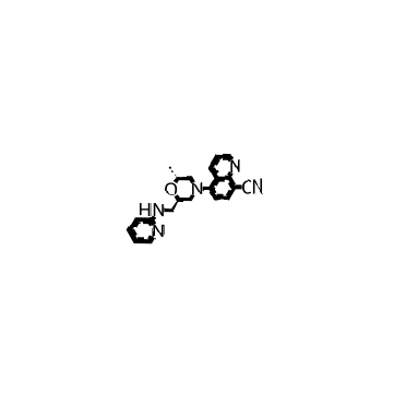 C[C@@H]1CN(c2ccc(C#N)c3ncccc23)C[C@@H](CNc2ccccn2)O1